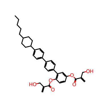 C=C(CO)C(=O)Oc1ccc(OC(=O)C(=C)CO)c(-c2ccc(-c3ccc(C4CCC(CCCCC)CC4)cc3)cc2)c1